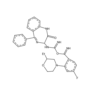 CCC1CN(c2cc(F)ccc2C(=N)OC(=N)NC2N=C(c3ccccc3)c3ccccc3NC2=O)CCO1